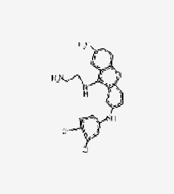 NCCNc1c2cc(Nc3ccc(Cl)c(Cl)c3)ccc2nc2ccc(C(F)(F)F)cc12